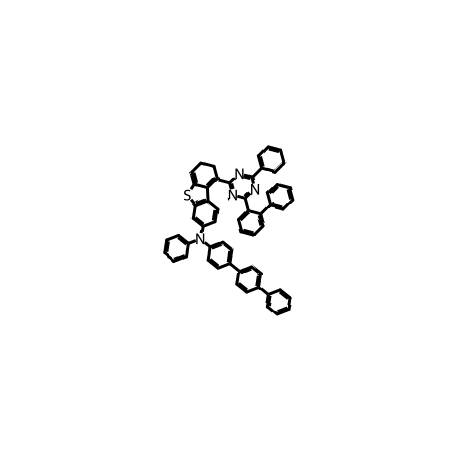 C1=CCCC(c2nc(C3=c4c(sc5cc(N(c6ccccc6)c6ccc(-c7ccc(-c8ccccc8)cc7)cc6)ccc45)=CCC3)nc(-c3ccccc3-c3ccccc3)n2)=C1